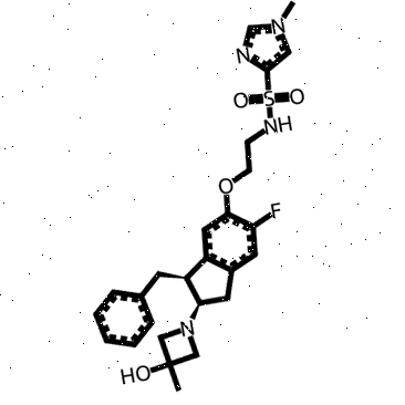 Cn1cnc(S(=O)(=O)NCCOc2cc3c(cc2F)C[C@@H](N2CC(C)(O)C2)[C@H]3Cc2ccccc2)c1